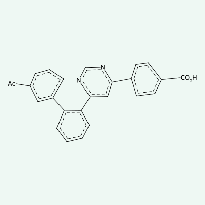 CC(=O)c1cccc(-c2ccccc2-c2cc(-c3ccc(C(=O)O)cc3)ncn2)c1